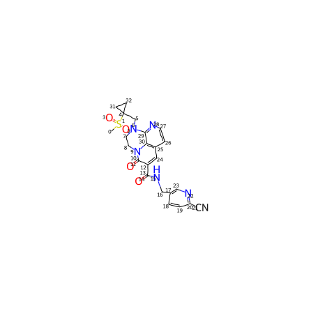 CS(=O)(=O)C1(CN2CCn3c(=O)c(C(=O)NCc4ccc(C#N)nc4)cc4ccnc2c43)CC1